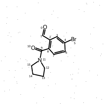 O=Cc1cc(Br)ccc1C(=O)N1CCCC1